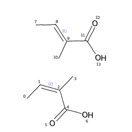 C/C=C(/C)C(=O)O.C/C=C(\C)C(=O)O